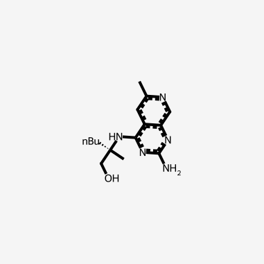 CCCC[C@](C)(CO)Nc1nc(N)nc2cnc(C)cc12